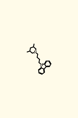 CC1CC(C)CN(CCCCn2c3ccccc3c3ccccc32)C1